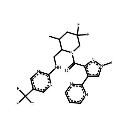 CC1CC(F)(F)CN(C(=O)c2nn(I)cc2-c2ncccn2)C1CNc1ncc(C(F)(F)F)cn1